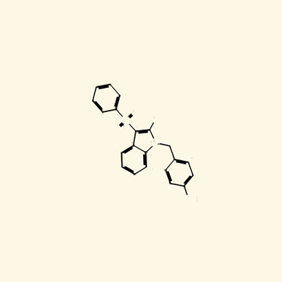 Cc1ccc(Cn2c(Cl)c(S(=O)(=O)c3ccccc3)c3ccccc32)cc1